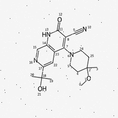 COC1(C)CCN(c2c(C#N)c(=O)[nH]c3cnc(C(C)(C)O)cc23)CC1